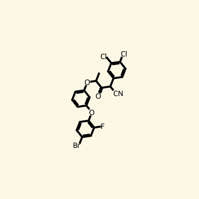 CC(Oc1cccc(Oc2ccc(Br)cc2F)c1)C(=O)C(C#N)c1ccc(Cl)c(Cl)c1